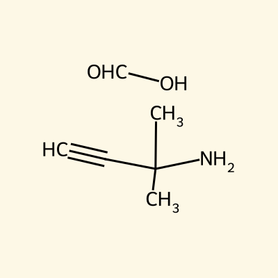 C#CC(C)(C)N.O=CO